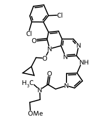 COCCN(C)C(=O)Cn1ccc(Nc2ncc3cc(-c4c(Cl)cccc4Cl)c(=O)n(OCC4CC4)c3n2)c1